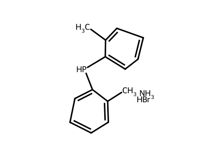 Br.Cc1ccccc1Pc1ccccc1C.N